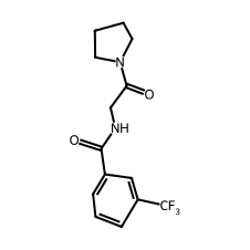 O=C(NCC(=O)N1CCCC1)c1cccc(C(F)(F)F)c1